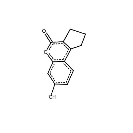 O=c1oc2cc(O)ccc2c2c1CCC2